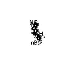 CCCCOc1ccc(C[C@]2(O)CCC3C4CCc5c(ccc(C#N)c5F)C4CC[C@@]32C)cc1